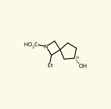 CCC1N(C(=O)O)CC12CC[C@H](O)C2